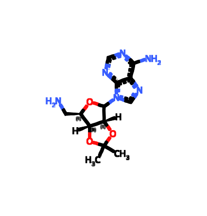 CC1(C)O[C@@H]2[C@@H](CN)OC(n3cnc4c(N)ncnc43)[C@@H]2O1